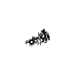 Cc1oc2ncnc(NC3(C)CC3)c2c1C(=O)NCc1nc2cc(F)ccc2o1